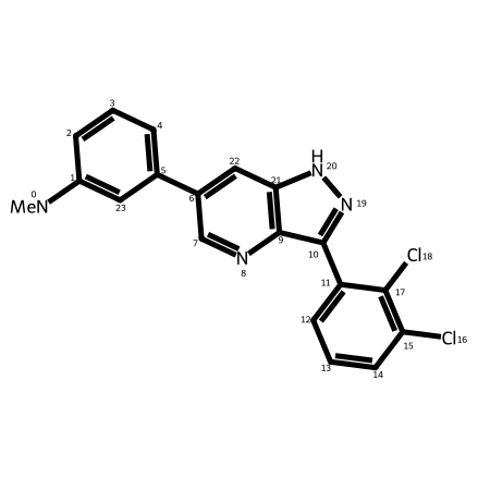 CNc1cccc(-c2cnc3c(-c4cccc(Cl)c4Cl)n[nH]c3c2)c1